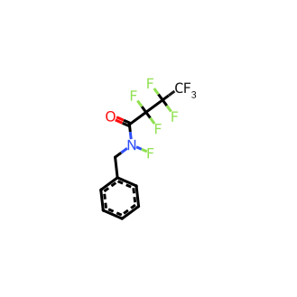 O=C(N(F)Cc1ccccc1)C(F)(F)C(F)(F)C(F)(F)F